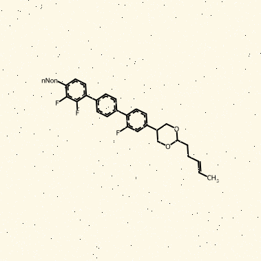 C/C=C/CCC1OCC(c2ccc(-c3ccc(-c4ccc(CCCCCCCCC)c(F)c4F)cc3)c(F)c2)CO1